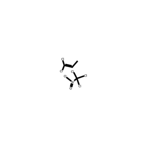 CC=C(Cl)Cl.O=[N+]([O-])C(Cl)(Cl)Cl